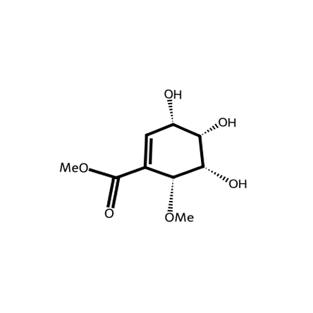 COC(=O)C1=C[C@H](O)[C@H](O)[C@H](O)[C@@H]1OC